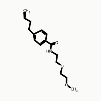 C=CCCc1ccc(C(=O)NCCOCCOC)cc1